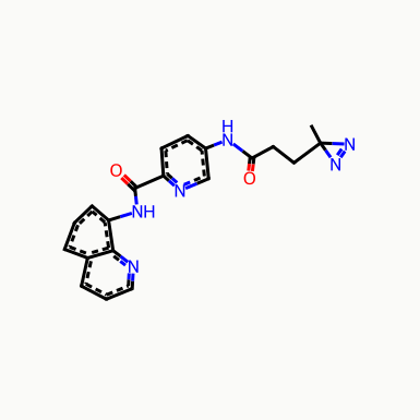 CC1(CCC(=O)Nc2ccc(C(=O)Nc3cccc4cccnc34)nc2)N=N1